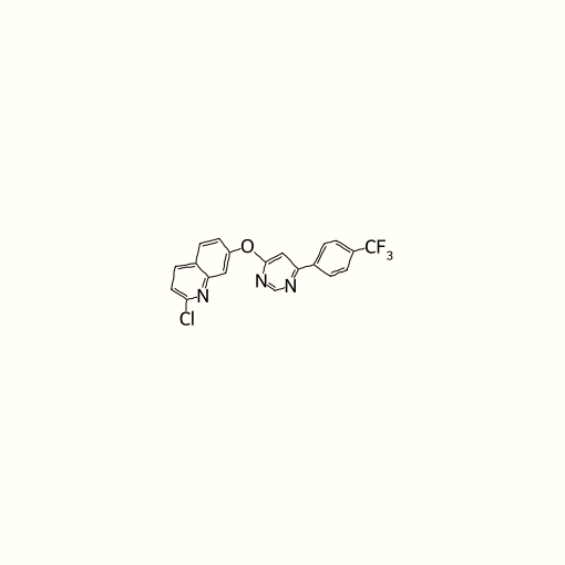 FC(F)(F)c1ccc(-c2cc(Oc3ccc4ccc(Cl)nc4c3)ncn2)cc1